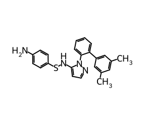 Cc1cc(C)cc(-c2ccccc2-n2nccc2NSc2ccc(N)cc2)c1